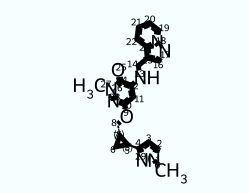 Cn1ccc([C@H]2C[C@@H]2COc2cc(NCc3cnn4ccccc34)c(=O)n(C)n2)n1